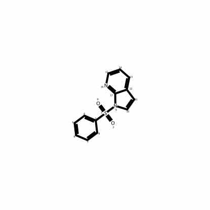 O=S(=O)(c1ccccc1)n1ccc2c[c]cnc21